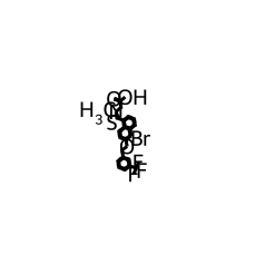 CN(CC(=O)O)C(=S)c1cccc2c(Br)c(OCc3cccc(C(F)(F)F)c3)ccc12